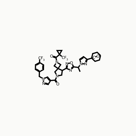 CC(c1nc(C2CN(C(=O)c3cnn(Cc4ccc(C(F)(F)F)cc4)c3)CC23CN(C(=O)C2(C(F)(F)F)CC2)C3)no1)n1ccc(C23CCC(CC2)OC3)n1